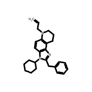 C=CCN1CCCc2c1ccc1c2nc(Cc2ccccc2)n1C1CCCCC1